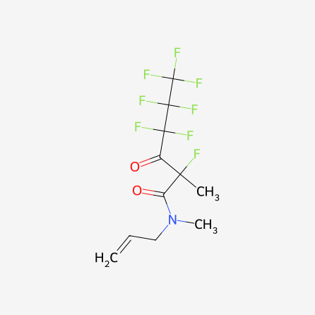 C=CCN(C)C(=O)C(C)(F)C(=O)C(F)(F)C(F)(F)C(F)(F)F